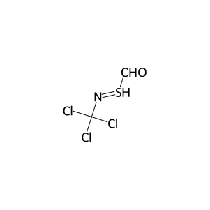 O=C[SH]=NC(Cl)(Cl)Cl